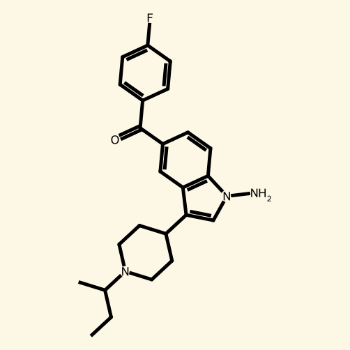 CCC(C)N1CCC(c2cn(N)c3ccc(C(=O)c4ccc(F)cc4)cc23)CC1